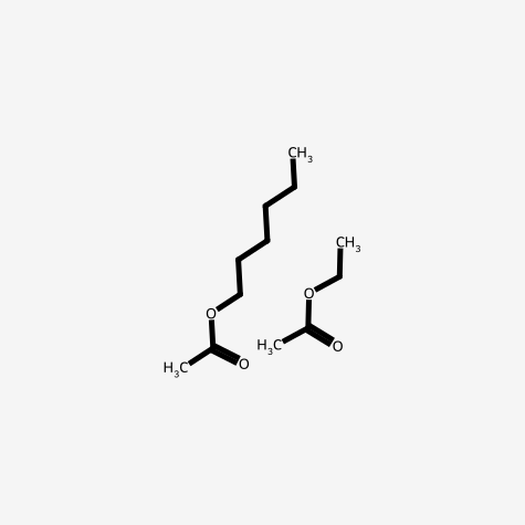 CCCCCCOC(C)=O.CCOC(C)=O